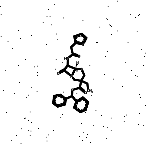 CCC1(C(=O)OC(c2ccccc2)c2ccccc2)CS[C@@H]2C(NC(=O)Cc3cccs3)C(=O)N2C1